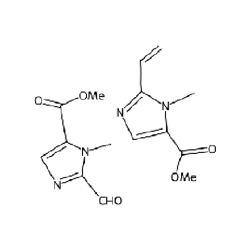 C=Cc1ncc(C(=O)OC)n1C.COC(=O)c1cnc(C=O)n1C